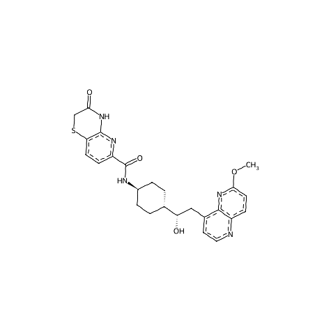 COc1ccc2nccc(C[C@H](O)[C@H]3CC[C@H](NC(=O)c4ccc5c(n4)NC(=O)CS5)CC3)c2n1